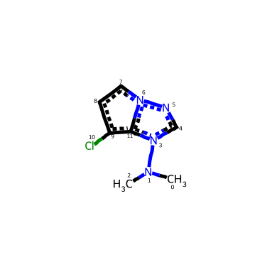 CN(C)n1cnn2ccc(Cl)c12